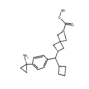 CC(C)(C)OC(=O)N1CC2(C1)CN(C(c1ccc(C3(N)CC3)cc1)C1CCC1)C2